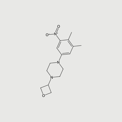 Cc1cc(N2CCN(C3COC3)CC2)cc([N+](=O)[O-])c1C